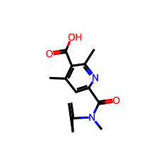 C=C(C)N(C)C(=O)c1cc(C)c(C(=O)O)c(C)n1